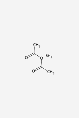 CC(=O)OC(C)=O.S